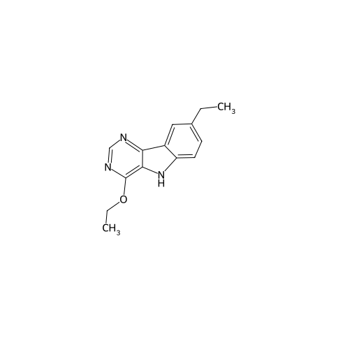 CCOc1ncnc2c1[nH]c1ccc(CC)cc12